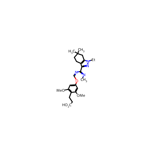 CCn1nc(C(/N=C\Oc2cc(OC)c(CCC(=O)O)c(OC)c2)=N/C)c2c1CC(C)(C)CC2